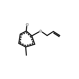 C=CCOc1cc(C)ccc1Cl